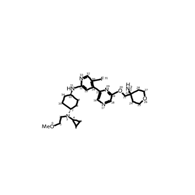 COCCN(C1CC1)[C@H]1CC[C@H](Nc2cc(-c3cncc(OCC4(N)CCOCC4)n3)c(F)cn2)CC1